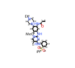 C=CC(=O)Nc1cc(Nc2ncc(C)c(Nc3ccccc3S(=O)(=O)C(C)C)n2)c(OC)cc1N1CCN(CC)CC1